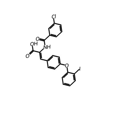 O=C(O)C(=Cc1ccc(Oc2ccccc2I)cc1)NC(=O)c1cccc(Cl)c1